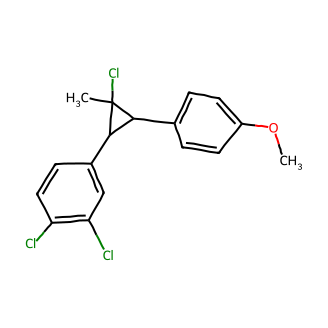 COc1ccc(C2C(c3ccc(Cl)c(Cl)c3)C2(C)Cl)cc1